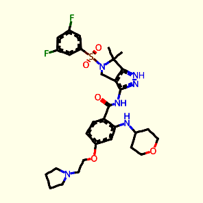 CC1(C)c2[nH]nc(NC(=O)c3ccc(OCCN4CCCC4)cc3NC3CCOCC3)c2CN1S(=O)(=O)c1cc(F)cc(F)c1